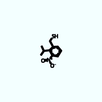 CC(C)c1c(CS)cccc1[N+](=O)[O-]